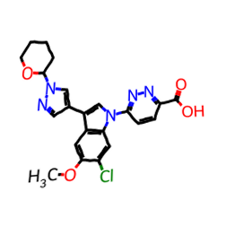 COc1cc2c(-c3cnn(C4CCCCO4)c3)cn(-c3ccc(C(=O)O)nn3)c2cc1Cl